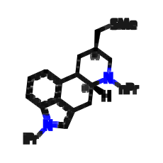 CCCN1C[C@H](CSC)CC2c3cccc4c3c(cn4C(C)C)C[C@H]21